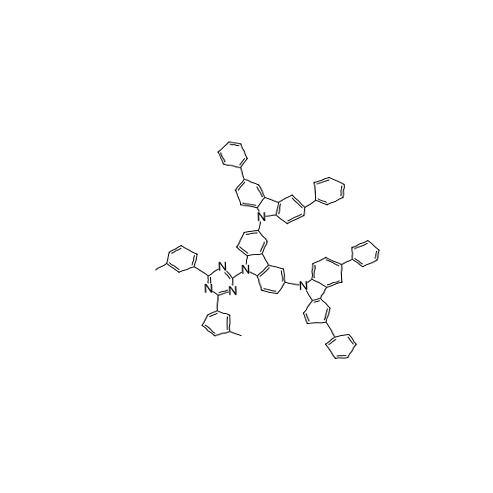 Cc1cccc(-c2nc(-c3cccc(C)c3)nc(-n3c4ccc(-n5c6ccc(-c7ccccc7)cc6c6cc(-c7ccccc7)ccc65)cc4c4cc(-n5c6ccc(-c7ccccc7)cc6c6cc(-c7ccccc7)ccc65)ccc43)n2)c1